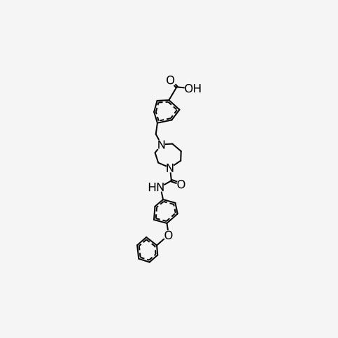 O=C(O)c1ccc(CN2CCCN(C(=O)Nc3ccc(Oc4ccccc4)cc3)CC2)cc1